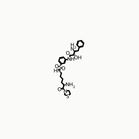 N[C@H](Cc1ccccc1)[C@H](O)C(=O)Nc1cccc(S(=O)(=O)NCCCC[C@H](N)C(=O)N2CCSC2)c1